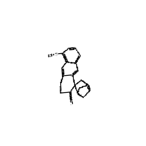 COc1cccc2cc3c(cc12)CCC(=O)C31CC2=CCC1C2